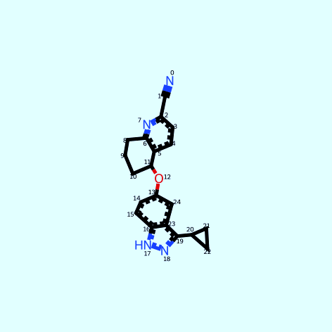 N#Cc1ccc2c(n1)CCCC2Oc1ccc2[nH]nc(C3CC3)c2c1